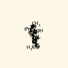 Cc1cc([C@H](C(=O)N2C[C@@H](O)C[C@@H]2C(=O)NCc2ccc(-c3scnc3C)cc2OI)C(C)C)on1